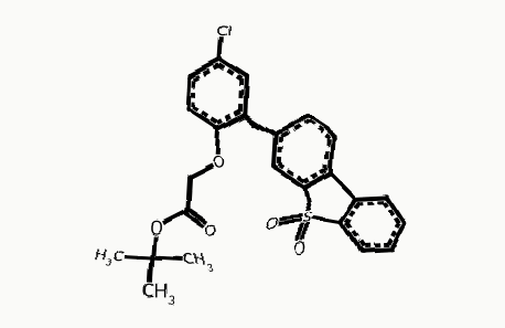 CC(C)(C)OC(=O)COc1ccc(Cl)cc1-c1ccc2c(c1)S(=O)(=O)c1ccccc1-2